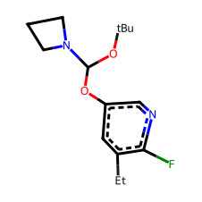 CCc1cc(OC(OC(C)(C)C)N2CCC2)cnc1F